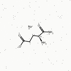 NC(=O)[C@@H](N)CCC(=O)[O-].[Na+]